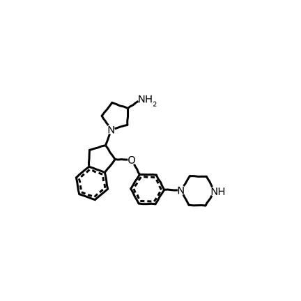 NC1CCN(C2Cc3ccccc3C2Oc2cccc(N3CCNCC3)c2)C1